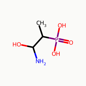 CC(C(N)O)P(=O)(O)O